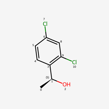 C[C@H](O)c1ccc(Cl)cc1Cl